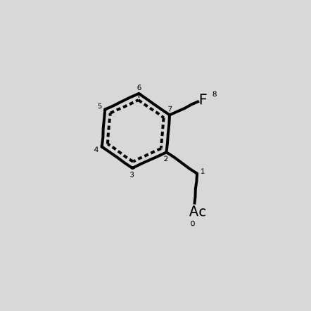 CC(=O)Cc1ccc[c]c1F